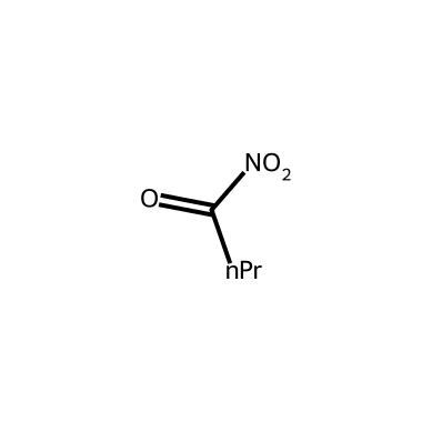 CCCC(=O)[N+](=O)[O-]